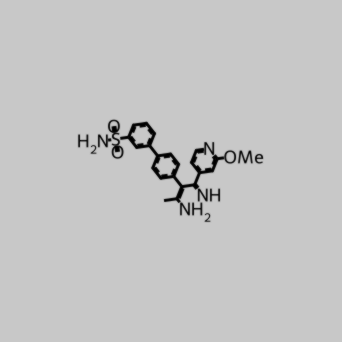 COc1cc(C(=N)/C(=C(/C)N)c2ccc(-c3cccc(S(N)(=O)=O)c3)cc2)ccn1